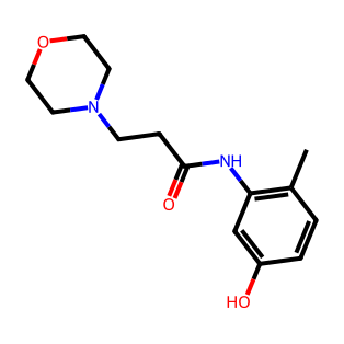 Cc1ccc(O)cc1NC(=O)CCN1CCOCC1